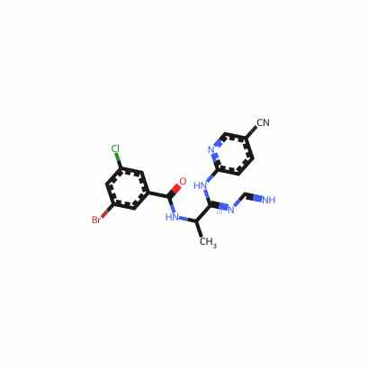 CC(NC(=O)c1cc(Cl)cc(Br)c1)/C(=N/C=N)Nc1ccc(C#N)cn1